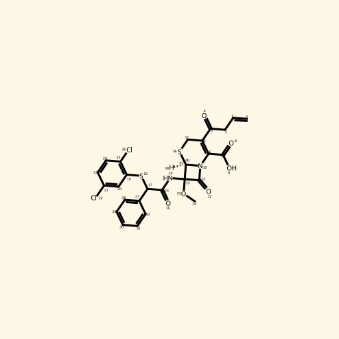 C=CCC(=O)C1=C(C(=O)O)N2C(=O)C(NC(=O)C(Sc3cc(Cl)ccc3Cl)c3ccccc3)(OC)[C@H]2SC1